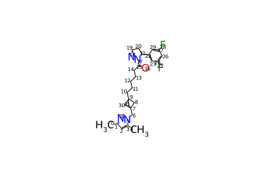 Cc1cc(C)n(CC23CC(CCCCCC(=O)N4N=CCC4c4cc(F)cc(F)c4)(C2)C3)n1